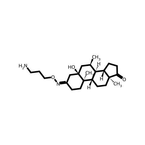 C[C@@H]1C[C@@]2(O)C/C(=N\OCCCN)CC[C@]2(C)[C@H]2CC[C@]3(C)C(=O)CC[C@H]3[C@H]12